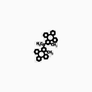 Cc1cc(N(C)c2cc(C)c3c(c2)-c2ccccc2-c2ccccc2-c2ccccc2-3)cc2c1-c1ccccc1-c1ccccc1-c1ccccc1-2